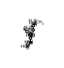 Cc1cc2[nH]c(C(C)C)nc2cc1-c1ccc(C[C@H](NC(=O)[C@H]2CC[C@H](CN)CC2)C(=O)Nc2ccc(-c3nnc(C(F)(F)C(F)(F)C(=O)O)[nH]3)cc2)cc1.Cl